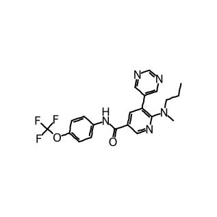 CCCN(C)c1ncc(C(=O)Nc2ccc(OC(F)(F)F)cc2)cc1-c1cncnc1